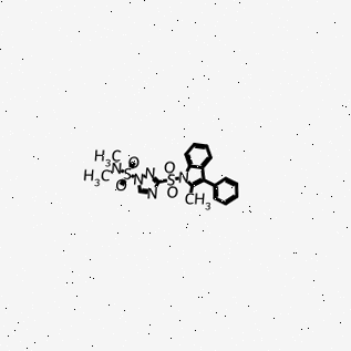 Cc1c(-c2ccccc2)c2ccccc2n1S(=O)(=O)c1ncn(S(=O)(=O)N(C)C)n1